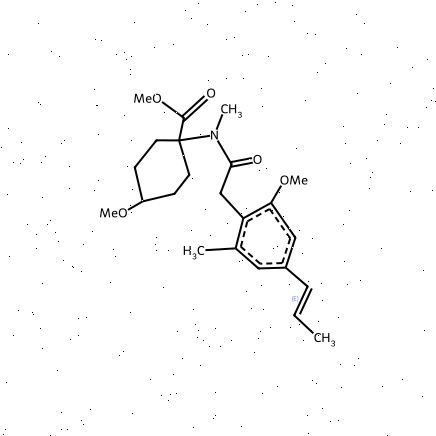 C/C=C/c1cc(C)c(CC(=O)N(C)C2(C(=O)OC)CCC(OC)CC2)c(OC)c1